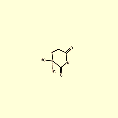 CC(C)C1(O)CCC(=O)NC1=O